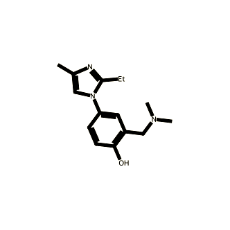 CCc1nc(C)cn1-c1ccc(O)c(CN(C)C)c1